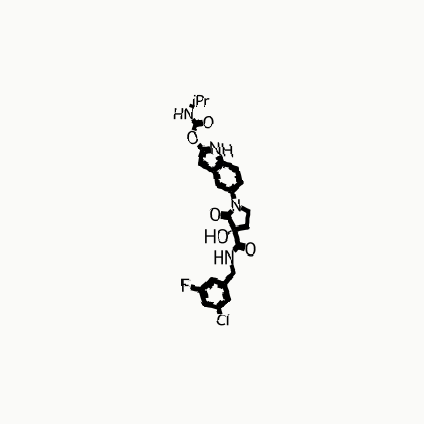 CC(C)NC(=O)Oc1cc2cc(N3CC[C@@](O)(C(=O)NCc4cc(F)cc(Cl)c4)C3=O)ccc2[nH]1